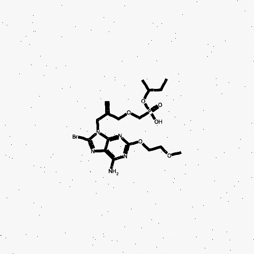 C=C(COCP(=O)(O)OC(C)CC)Cn1c(Br)nc2c(N)nc(OCCOC)nc21